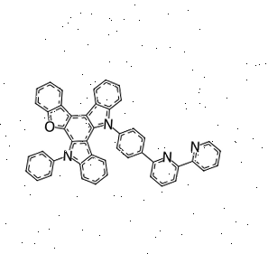 c1ccc(-n2c3ccccc3c3c2c2oc4ccccc4c2c2c4ccccc4n(-c4ccc(-c5cccc(-c6ccccn6)n5)cc4)c23)cc1